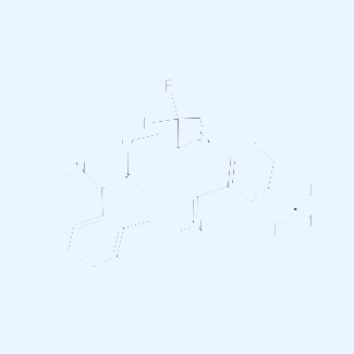 CO/N=C(/C(=O)OC)c1cccc(C)c1CO/N=C(\C)c1cc(C(F)(F)F)ccc1N1CC(F)(F)C1